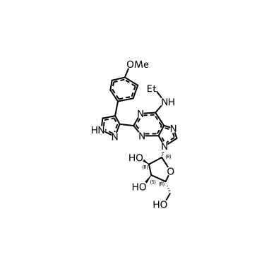 CCNc1nc(-c2n[nH]cc2-c2ccc(OC)cc2)nc2c1ncn2[C@@H]1O[C@H](CO)[C@@H](O)[C@H]1O